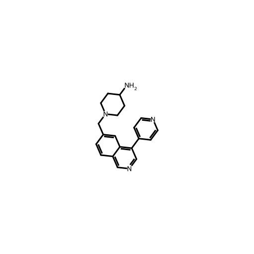 NC1CCN(Cc2ccc3cncc(-c4ccncc4)c3c2)CC1